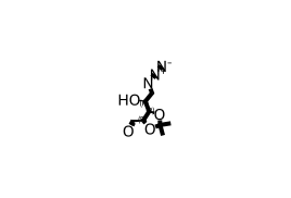 CC1(C)O[C@H]([C@H](O)CN=[N+]=[N-])[C@H](C=O)O1